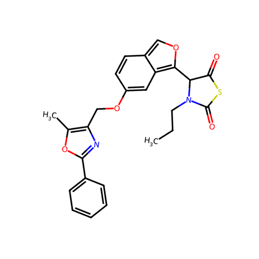 CCCN1C(=O)SC(=O)C1c1occ2ccc(OCc3nc(-c4ccccc4)oc3C)cc12